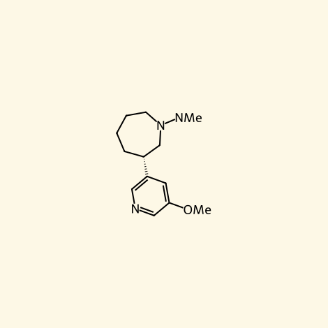 CNN1CCCC[C@@H](c2cncc(OC)c2)C1